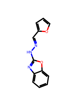 C(=NNc1nc2ccccc2o1)c1ccco1